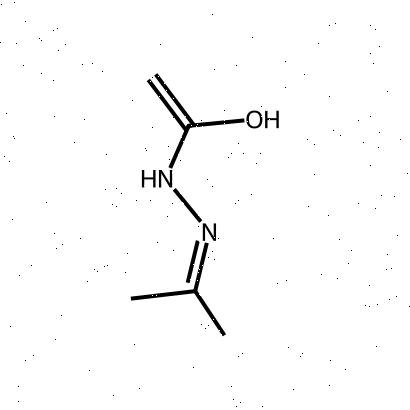 C=C(O)NN=C(C)C